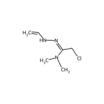 C=CN/N=C(/CCl)N(C)C